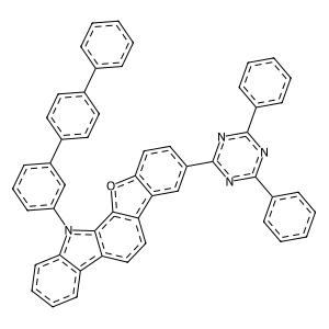 c1ccc(-c2ccc(-c3cccc(-n4c5ccccc5c5ccc6c7cc(-c8nc(-c9ccccc9)nc(-c9ccccc9)n8)ccc7oc6c54)c3)cc2)cc1